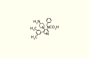 Cc1cc(C)cc(-c2cncc(N(Cc3ccccc3)C(=O)O)c2N2CCC(N)CC2)c1